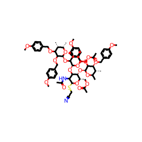 COc1ccc(COC2C(OCc3ccc(OC)cc3)[C@H](C)[C@H](C)O[C@H]2OC2C(C)[C@@H](C)[C@H](COC(C)=O)O[C@H]2OC2C(NC(C)=O)[C@H](SCC#N)O[C@@H](COC(C)=O)[C@H]2O[C@@H]2OC(C)[C@@H](C)[C@H](OCc3ccc(OC)cc3)C2OCc2ccc(OC)cc2)cc1